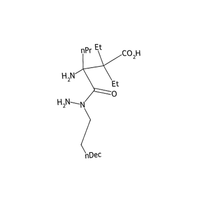 CCCCCCCCCCCCN(N)C(=O)C(N)(CCC)C(CC)(CC)C(=O)O